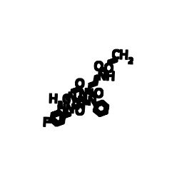 C=CCOC(=O)NCCC[C@H]1C(=O)N(C2CCCCC2)C[C@H]2N1C(=O)CN(C)N2C(=O)NCc1ccc(F)cc1